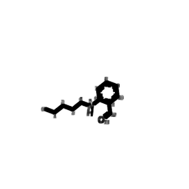 CCCCCNc1ccccc1C=O